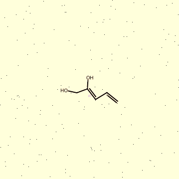 C=C/C=C(\O)CO